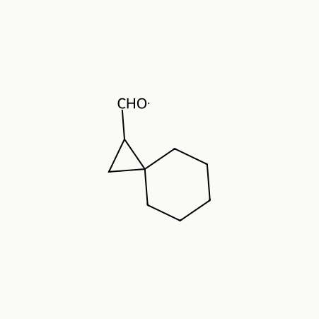 O=[C]C1CC12CCCCC2